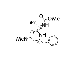 CNCC[C@H](Cc1ccccc1)NC(=O)[C@@H](NC(=O)OC)C(C)C